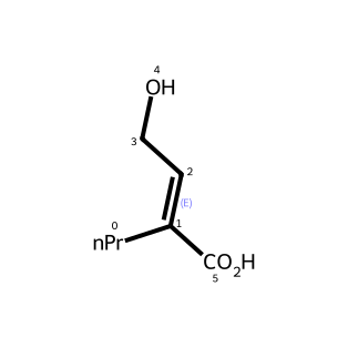 CCC/C(=C\CO)C(=O)O